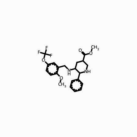 COC(=O)C1CNC(c2ccccc2)C(NCc2cc(OC(F)(F)F)ccc2OC)C1